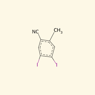 Cc1cc(I)c(I)cc1C#N